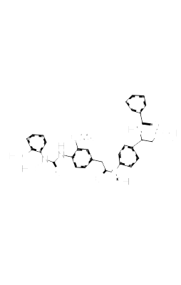 COc1cc(CC(=O)N(C)c2ccc(C(CC(=O)O)NC(=O)c3ccccc3)cc2)ccc1NC(=O)N(C)c1ccccc1C